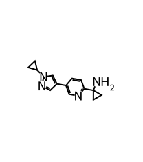 NC1(c2ccc(-c3cnn(C4CC4)c3)cn2)CC1